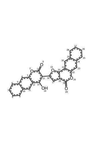 O=c1oc2cc3ccccc3cc2c(O)c1-c1cc2c(=O)oc3cc4ccccc4cc3c2o1